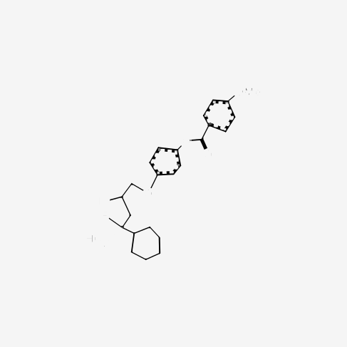 CCC(COc1ccc(OC(=O)c2ccc(OC)cc2)cc1)C[C@@](F)(C(=O)O)C1CCCCC1